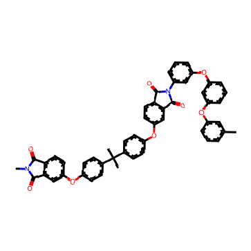 Cc1cccc(Oc2cccc(Oc3cccc(N4C(=O)c5ccc(Oc6ccc(C(C)(C)c7ccc(Oc8ccc9c(c8)C(=O)N(C)C9=O)cc7)cc6)cc5C4=O)c3)c2)c1